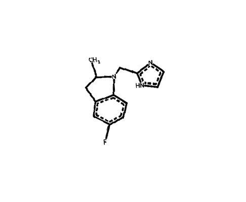 CC1Cc2cc(F)ccc2N1Cc1ncc[nH]1